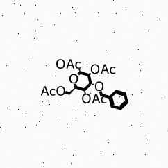 CC(=O)OC[C@H]1O[C@H](OC(C)=O)[C@@H](OC(C)=O)[C@H](OCc2ccccc2)[C@@H]1OC(C)=O